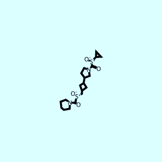 O=C(N1CCCCC1)[S+]([O-])CC1CC(C2CCN(C(=O)[S+]([O-])C3CC3)C2)C1